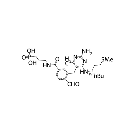 CCCC[C@@H](CCSC)Nc1nc(N)nc(C)c1Cc1cc(C(=O)NCCCP(=O)(O)O)ccc1C=O